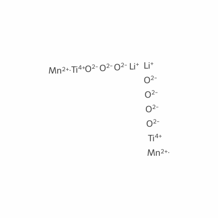 [Li+].[Li+].[Mn+2].[Mn+2].[O-2].[O-2].[O-2].[O-2].[O-2].[O-2].[O-2].[Ti+4].[Ti+4]